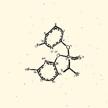 CC(Br)P(=S)(Oc1cccc(F)n1)Oc1cccc(F)n1